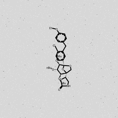 CCCCO[C@@H]1[C@@H](OCCCC)[C@@]2(c3ccc(Cl)c(Cc4ccc(OCC)cc4)c3)OC[C@](C3CNC(=O)O3)(O2)[C@H]1OCCCC